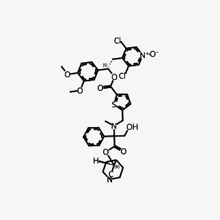 COc1ccc([C@H](Cc2c(Cl)c[n+]([O-])cc2Cl)OC(=O)c2ccc(CN(C)C(CO)(C(=O)O[C@H]3CN4CCC3CC4)c3ccccc3)s2)cc1OC